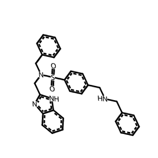 O=S(=O)(c1ccc(CNCc2ccccc2)cc1)N(Cc1ccccc1)Cc1nc2ccccc2[nH]1